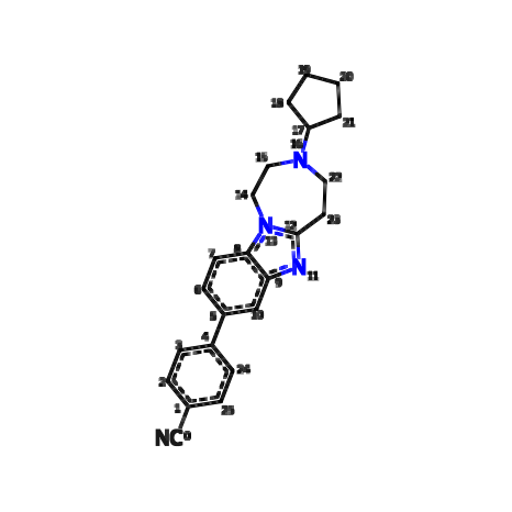 N#Cc1ccc(-c2ccc3c(c2)nc2n3CCN(C3CCCC3)CC2)cc1